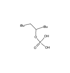 CCC(C)CC(OP(=O)(O)O)C(C)CC